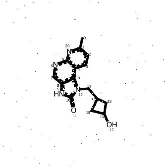 Cc1ccc2c(ncc3[nH]c(=O)n(CC4CC(O)C4)c32)n1